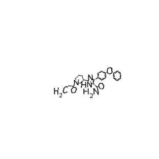 C=CC(=O)N1CCCC(c2nc(-c3ccc(Oc4ccccc4)cc3)c(C(N)=O)[nH]2)C1